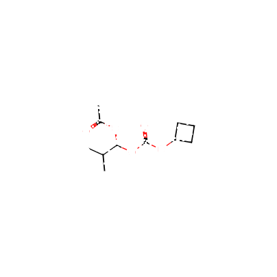 CC(=O)O[C@@H](OC(=O)OC1CCC1)C(C)C